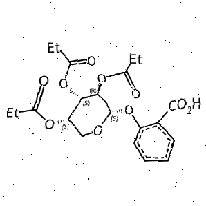 CCC(=O)O[C@@H]1[C@@H](OC(=O)CC)[C@H](Oc2ccccc2C(=O)O)OC[C@@H]1OC(=O)CC